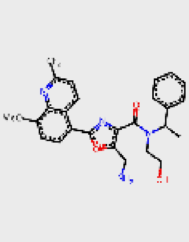 COc1ccc(-c2nc(C(=O)N(CCO)[C@H](C)c3ccccc3)c(CN)o2)c2ccc(C(F)(F)F)nc12